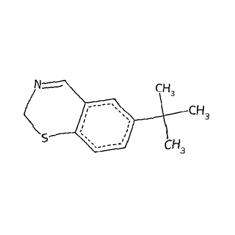 CC(C)(C)c1ccc2c(c1)C=NCS2